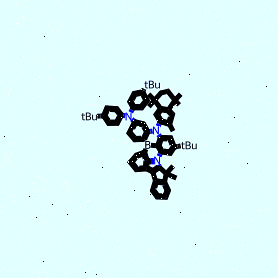 Cc1cc2c(cc1N1c3cc(N(c4ccc(C(C)(C)C)cc4)c4ccc(C(C)(C)C)cc4)ccc3B3c4c1cc(C(C)(C)C)cc4-n1c4c(c5cccc3c51)-c1ccccc1C4(C)C)C(C)(C)CCC2(C)C